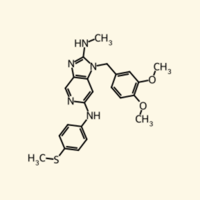 CNc1nc2cnc(Nc3ccc(SC)cc3)cc2n1Cc1ccc(OC)c(OC)c1